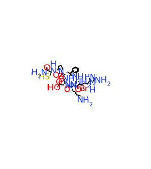 N=C(N)NCCCC(Br)[C@H](N)C(=O)N[C@@H](CCCCN)C(=O)N[C@@H](CC(=O)O)C(=O)N[C@@H](Cc1c[nH]c2ccccc12)C(=O)N1CCC[C@H]1C(=O)N[C@@H](CS)C(N)=O